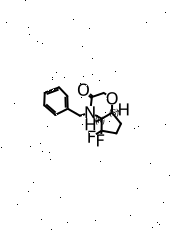 O=C1CO[C@H]2CCC(F)(F)[C@@H]2N1Cc1ccccc1